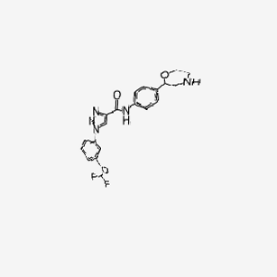 O=C(Nc1ccc(C2CNCCO2)cc1)c1cn(-c2cccc(OC(F)F)c2)nn1